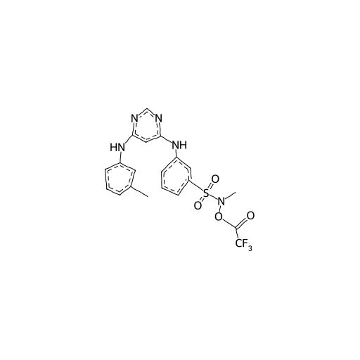 Cc1cccc(Nc2cc(Nc3cccc(S(=O)(=O)N(C)OC(=O)C(F)(F)F)c3)ncn2)c1